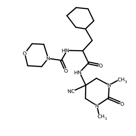 CN1CC(C#N)(NC(=O)C(CC2CCCCC2)NC(=O)N2CCOCC2)CN(C)C1=O